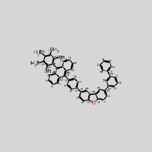 Bc1c(B)c(B)c(-c2c3ccccc3c(-c3ccc(-c4ccc5oc6ccc(-c7cccc(-c8ccccc8)c7)cc6c5c4)cc3)c3ccccc23)c(B)c1B